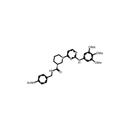 COc1cc(Nc2nccc(N3CCC[C@H](C(=O)NCc4ccc(NC(C)=O)cc4)C3)n2)cc(OC)c1OC